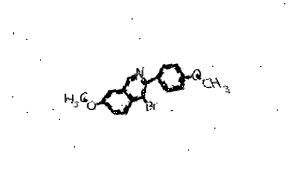 COc1ccc(-c2ncc3cc(OC)ccc3c2Br)cc1